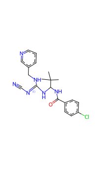 CC(C)(C)C(NC(=O)c1ccc(Cl)cc1)N/C(=N/C#N)NCc1cccnc1